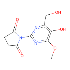 COc1nc(N2C(=O)CCC2=O)nc(CO)c1O